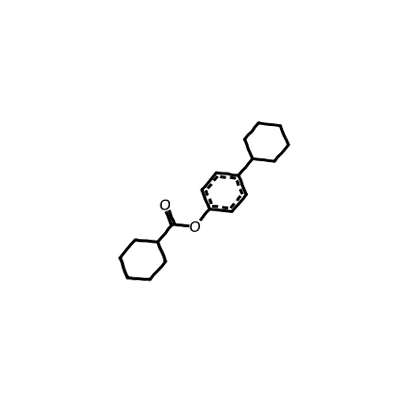 O=C(Oc1ccc(C2CCCCC2)cc1)C1CCCCC1